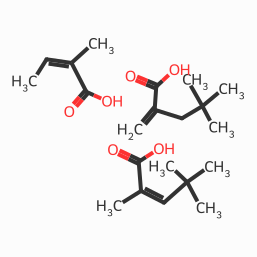 C=C(CC(C)(C)C)C(=O)O.CC(=CC(C)(C)C)C(=O)O.CC=C(C)C(=O)O